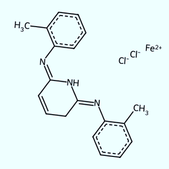 Cc1ccccc1N=C1C=CCC(=Nc2ccccc2C)N1.[Cl-].[Cl-].[Fe+2]